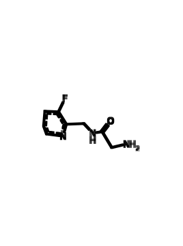 NCC(=O)NCc1ncccc1F